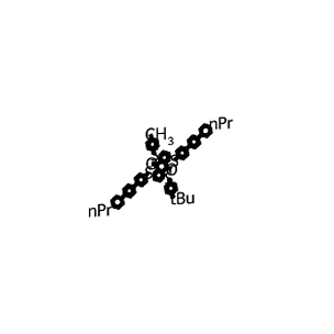 CCCC1CCC(c2ccc(-c3ccc(Sc4ccc(Sc5ccc(C)cc5)c5c4C(=O)c4c(Sc6ccc(C(C)(C)C)cc6)ccc(Sc6ccc(-c7ccc(C8CCC(CCC)CC8)cc7)cc6)c4C5=O)cc3)cc2)CC1